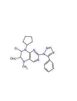 CCC1C(C=O)N(C)c2cnc(-n3ncnc3-c3ccccc3)nc2N1C1CCCC1